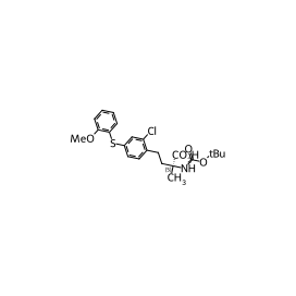 COc1ccccc1Sc1ccc(CC[C@](C)(NC(=O)OC(C)(C)C)C(=O)O)c(Cl)c1